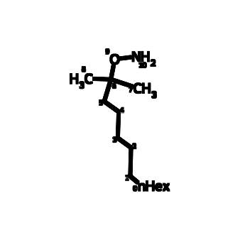 CCCCCCCCCCCC(C)(C)ON